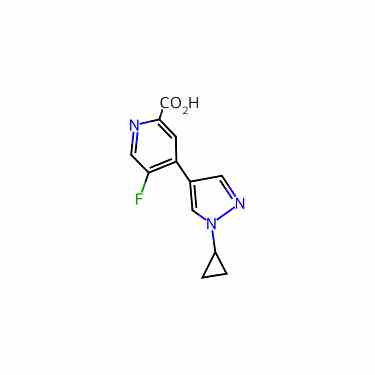 O=C(O)c1cc(-c2cnn(C3CC3)c2)c(F)cn1